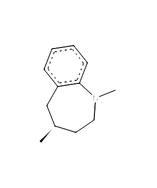 C[C@@H]1CCN(C)c2ccccc2C1